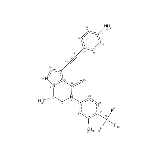 Cc1cc(N2C[C@H](C)n3ncc(C#Cc4ccc(N)nc4)c3C2=O)ccc1C(F)(F)F